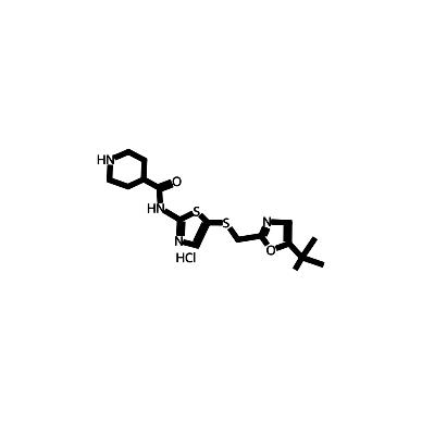 CC(C)(C)c1cnc(CSc2cnc(NC(=O)C3CCNCC3)s2)o1.Cl